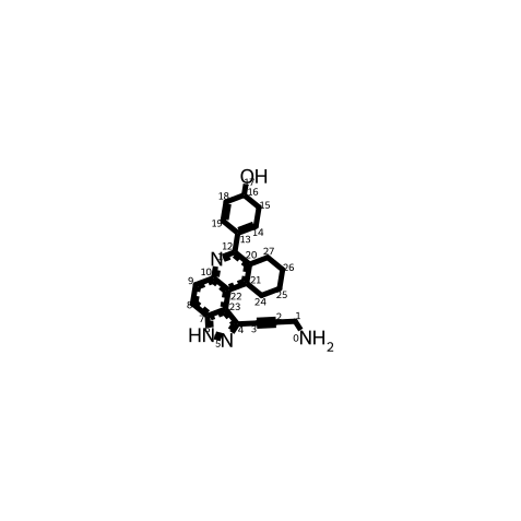 NCC#Cc1n[nH]c2ccc3nc(C4=CCC(O)C=C4)c4c(c3c12)CCCC4